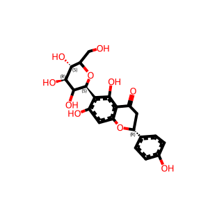 O=C1C[C@H](c2ccc(O)cc2)Oc2cc(O)c([C@@H]3OC(CO)[C@@H](O)[C@H](O)C3O)c(O)c21